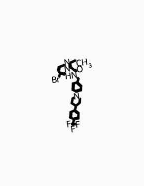 CCc1nc2ccc(Br)cn2c1C(=O)NCc1ccc(N2CCC(c3ccc(C(F)(F)F)cc3)CC2)cc1